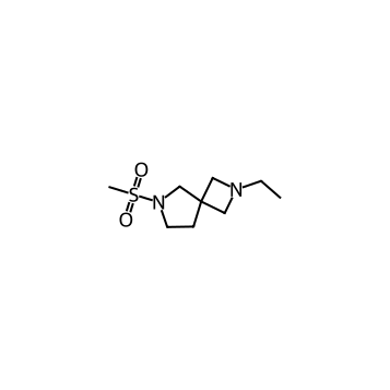 CCN1CC2(CCN(S(C)(=O)=O)C2)C1